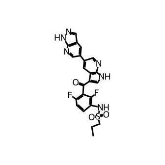 CCCS(=O)(=O)Nc1ccc(F)c(C(=O)c2c[nH]c3ncc(-c4cnc5[nH]ncc5c4)cc23)c1F